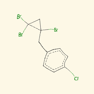 Clc1ccc(CC2(Br)CC2(Br)Br)cc1